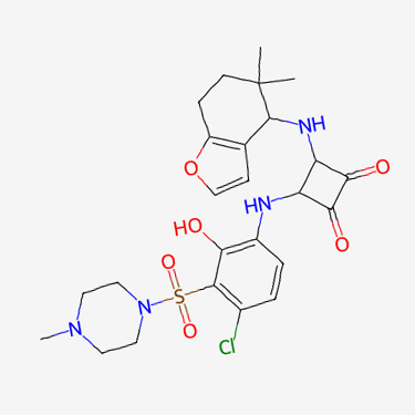 CN1CCN(S(=O)(=O)c2c(Cl)ccc(NC3C(=O)C(=O)C3NC3c4ccoc4CCC3(C)C)c2O)CC1